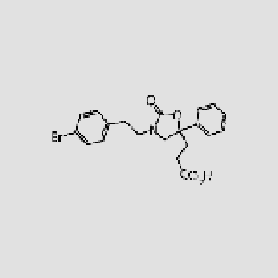 O=C(O)CCC1(c2ccccc2)CN(CCc2ccc(Br)cc2)C(=O)O1